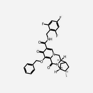 C[C@H]1CC2C[C@H]1N1C(=O)c3c(OCc4ccccc4)c(=O)c(C(=O)NCc4c(F)cc(F)cc4F)cn3C[C@H]21